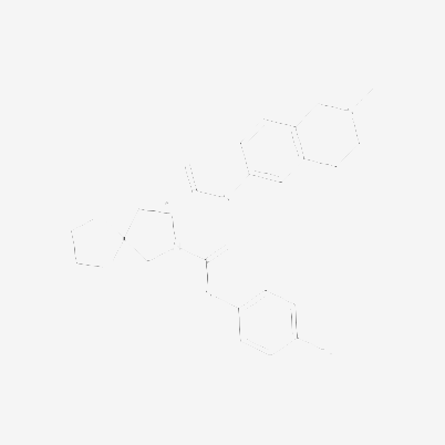 CN1CCc2cc(NC(=O)[C@H]3CC4(CN3C(=O)Nc3ccc(Br)cc3)OCCO4)ccc2C1